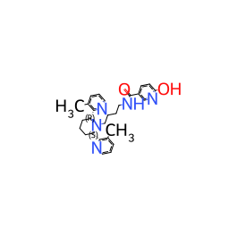 Cc1cccnc1[C@H]1CCC[C@@H](c2ncccc2C)N1CCCCNC(=O)c1ccc(O)nc1